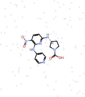 O=C(O)N1CC[C@@H](Nc2ccc([N+](=O)[O-])c(Nc3ccncc3)n2)C1